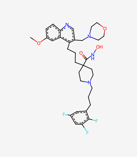 COc1ccc2ncc(CN3CCOCC3)c(CCCC3(C(=O)NO)CCN(CCCc4cc(F)cc(F)c4F)CC3)c2c1